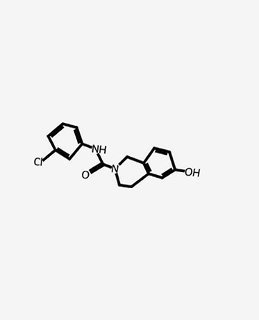 O=C(Nc1cccc(Cl)c1)N1CCc2cc(O)ccc2C1